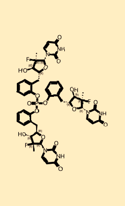 C[C@@]1(F)[C@H](O)[C@@H](Cc2ccccc2OP(=O)(Oc2ccccc2C[C@H]2O[C@@H](n3ccc(=O)[nH]c3=O)[C@](C)(F)[C@@H]2O)Oc2ccccc2C[C@H]2O[C@@H](n3ccc(=O)[nH]c3=O)[C@](C)(F)[C@@H]2O)O[C@H]1n1ccc(=O)[nH]c1=O